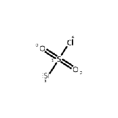 O=S(=O)([Si])Cl